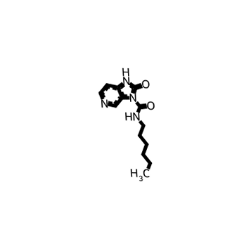 CCCCCCNC(=O)n1c(=O)[nH]c2ccncc21